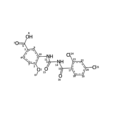 COc1ccc(C(=O)O)cc1NC(=O)NC(=O)c1ccc(Cl)cc1Cl